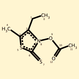 CCc1c(C)sc(=S)n1OC(C)=O